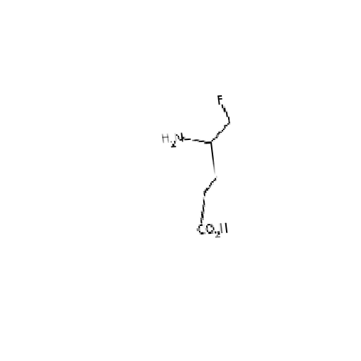 NC(CF)CCC(=O)O